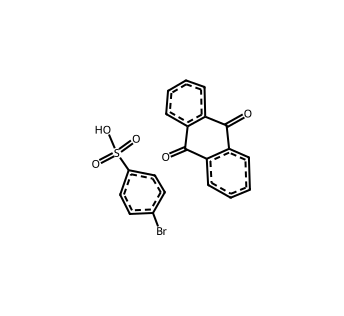 O=C1c2ccccc2C(=O)c2ccccc21.O=S(=O)(O)c1ccc(Br)cc1